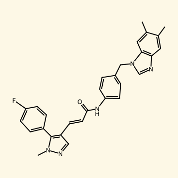 Cc1cc2ncn(Cc3ccc(NC(=O)/C=C/c4cnn(C)c4-c4ccc(F)cc4)cc3)c2cc1C